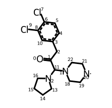 O=C(Cc1ccc(Cl)c(Cl)c1)C(N1CCCC1)N1CC[N]CC1